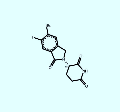 CC(C)(C)c1cc2c(cc1F)C(=O)N([C@H]1CCC(=O)NC1=O)C2